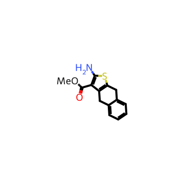 COC(=O)c1c(N)sc2c1Cc1ccccc1C2